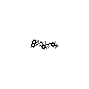 O=C(Cc1ccc(C(F)(F)F)c(F)c1)Nc1c(Cl)ccc2c1CCN(S(=O)(=O)c1cccc3ccccc13)C2